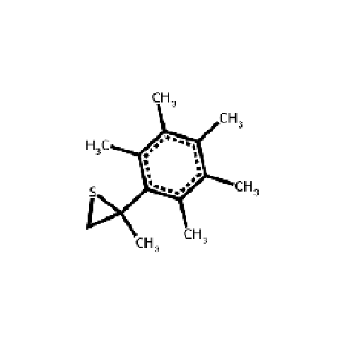 Cc1c(C)c(C)c(C2(C)CS2)c(C)c1C